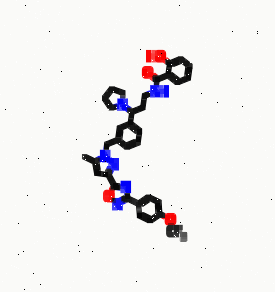 Cc1cc(-c2nc(-c3ccc(OC(F)(F)F)cc3)no2)nn1Cc1cccc(C(CCNC(=O)c2ccccc2O)N2CCCC2)c1